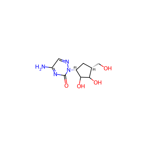 Nc1cnn([C@@H]2C[C@H](CO)C(O)C2O)c(=O)n1